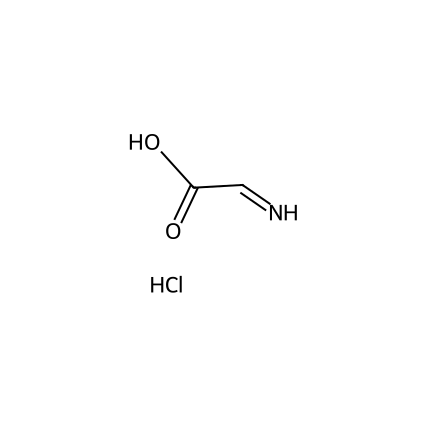 Cl.N=CC(=O)O